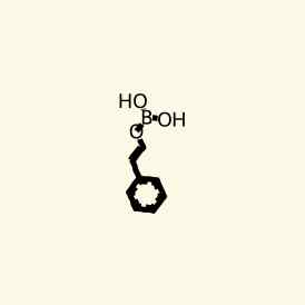 OB(O)OC=Cc1ccccc1